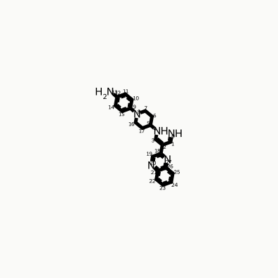 N=C/C(=C\NC1CCN(c2ccc(N)cc2)CC1)c1cnc2ccccc2n1